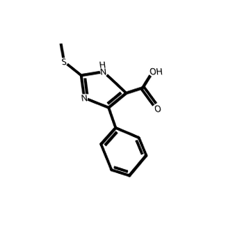 CSc1nc(-c2ccccc2)c(C(=O)O)[nH]1